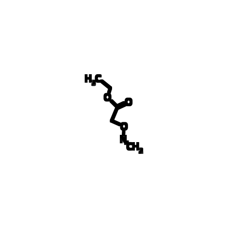 C=NOCC(=O)OCC